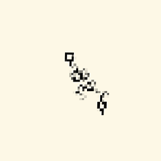 CC(=O)OC1C[C@@H](COC(=O)c2ccc(C)cc2)O[C@H]1n1cnc2c(OCc3ccccc3)nccc21